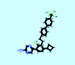 Nc1cnc(-c2ccc(C3CCC3)c(CCc3ccc(-c4ccc(C(F)(F)F)cc4)cc3)c2F)cn1